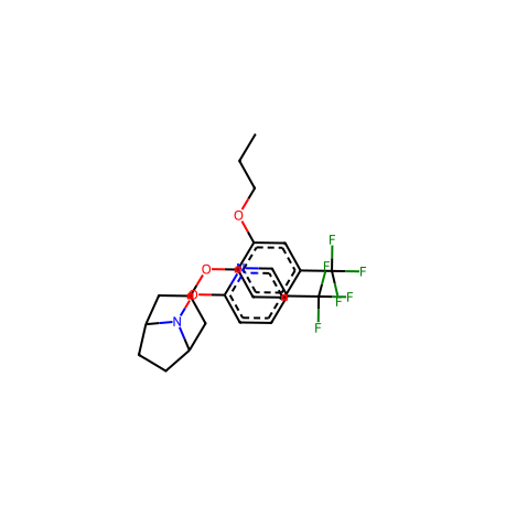 CCCOc1cc(C(F)(F)F)ccc1OC1CC2CCC(C1)N2Oc1ccc(C(F)(F)F)cn1